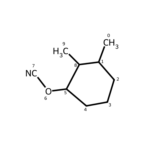 CC1CCCC(OC#N)C1C